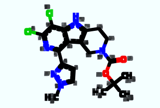 Cn1ccc(-c2nc(Cl)c(Cl)c3[nH]c4c(c23)CN(C(=O)OC(C)(C)C)CC4)n1